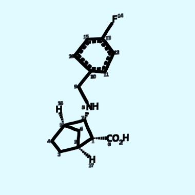 O=C(O)[C@@H]1[C@H]2CC[C@H](C2)[C@@H]1NCc1ccc(F)cc1